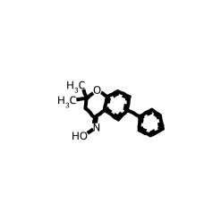 CC1(C)CC(=NO)c2cc(-c3ccccc3)ccc2O1